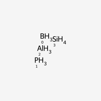 B.P.[AlH3].[SiH4]